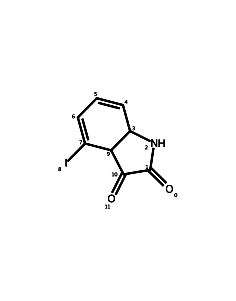 O=C1NC2C=CC=C(I)C2C1=O